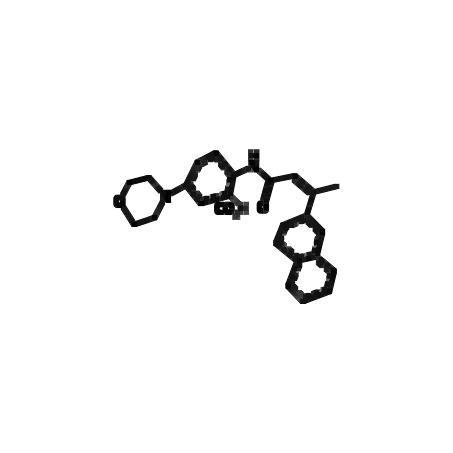 C/C(=C/C(=O)Nc1ccc(N2CCOCC2)cc1C(=O)O)c1ccc2ccccc2c1